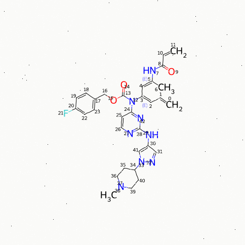 C=C/C=C(\C=C(/C)NC(=O)C=C)N(C(=O)OCc1ccc(F)cc1)c1ccnc(Nc2cnn(C3CCN(C)CC3)c2)n1